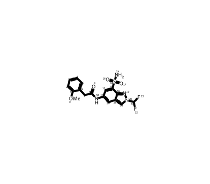 COc1ccccc1CC(=O)Nc1cc(S(N)(=O)=O)c2nn(C(F)F)cc2c1